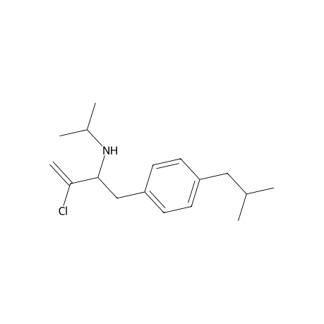 C=C(Cl)C(Cc1ccc(CC(C)C)cc1)NC(C)C